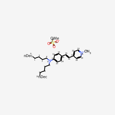 CCCCCCCCCCCCCCN(CCCCCCCCCCCCCC)c1ccc(C=Cc2cc[n+](C)cc2)cc1.COS(=O)(=O)[O-]